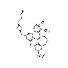 O=C(O)c1ccc2c(c1)CCCC(c1cccc(Cl)c1C(F)(F)F)=C2c1ccc(CC2CN(CCCF)C2)cc1F